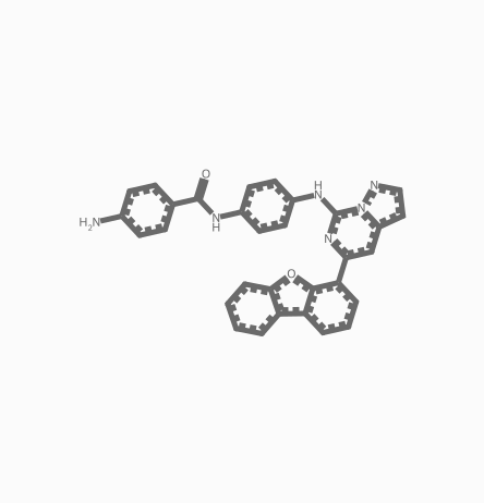 Nc1ccc(C(=O)Nc2ccc(Nc3nc(-c4cccc5c4oc4ccccc45)cc4ccnn34)cc2)cc1